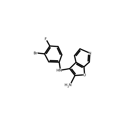 Nc1oc2cnccc2c1Nc1ccc(F)c(Br)c1